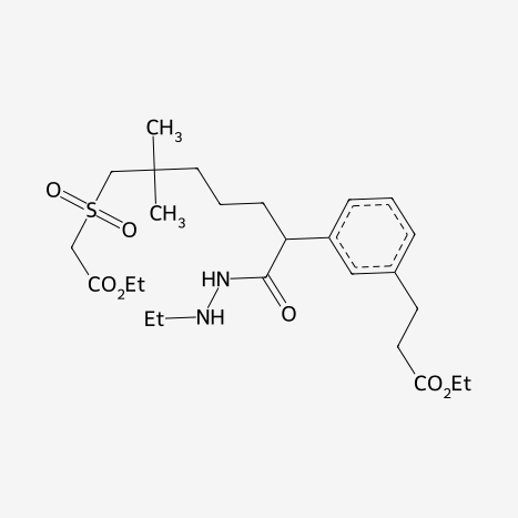 CCNNC(=O)C(CCCC(C)(C)CS(=O)(=O)CC(=O)OCC)c1cccc(CCC(=O)OCC)c1